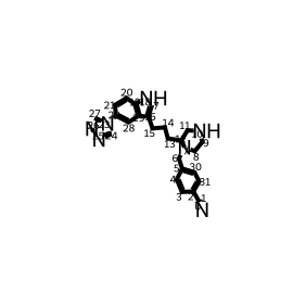 N#Cc1ccc(CN2CCNCC2CCCc2c[nH]c3ccc(-n4cnnc4)cc23)cc1